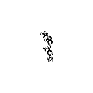 CC1=C(N2CCC3(CCN(C[C@H](OC(C)C)c4ccc(-n5cnnn5)nc4)CC3)C2=O)COC1=O